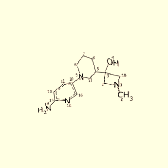 CN1CC(O)(C2CCCN(c3ccc(N)nc3)C2)C1